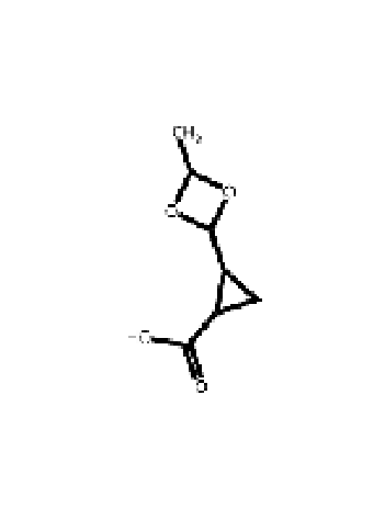 CC1OC(C2CC2C(=O)O)O1